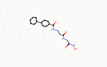 O=C(CNC(=O)CCNC(=O)c1ccc(-c2ccccc2)cc1)NO